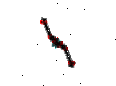 C=C(C)C(=O)OCCCCCCCCCCOc1ccc(C(=O)Oc2c(F)c(F)c(OC(=O)c3ccc(OCCCCCCCCCCOC(=O)C(=C)C)cc3)c(F)c2F)cc1